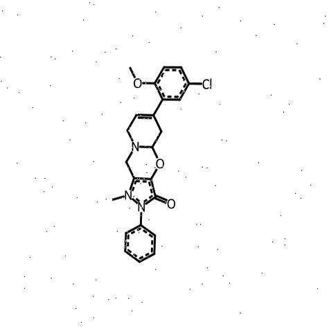 COc1ccc(Cl)cc1C1=CCN2Cc3c(c(=O)n(-c4ccccc4)n3C)OC2C1